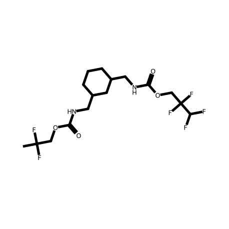 CC(F)(F)COC(=O)NCC1CCCC(CNC(=O)OCC(F)(F)C(F)F)C1